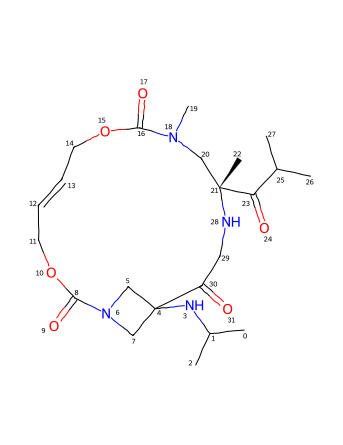 CC(C)NC12CN(C1)C(=O)OC/C=C/COC(=O)N(C)C[C@](C)(C(=O)C(C)C)NCC2=O